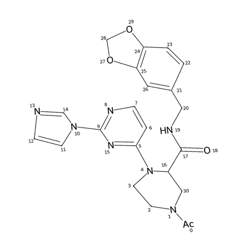 CC(=O)N1CCN(c2ccnc(-n3ccnc3)n2)C(C(=O)NCc2ccc3c(c2)OCO3)C1